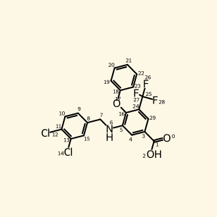 O=C(O)c1cc(NCc2ccc(Cl)c(Cl)c2)c(Oc2ccccc2)c(C(F)(F)F)c1